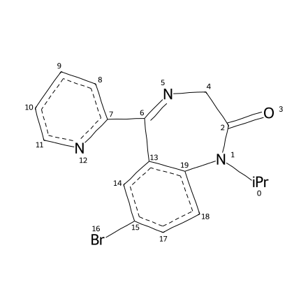 CC(C)N1C(=O)CN=C(c2ccccn2)c2cc(Br)ccc21